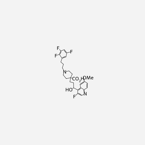 COc1ccc2ncc(F)c(C(O)CCC3(C(=O)O)CCN(CCCc4cc(F)cc(F)c4F)CC3)c2c1